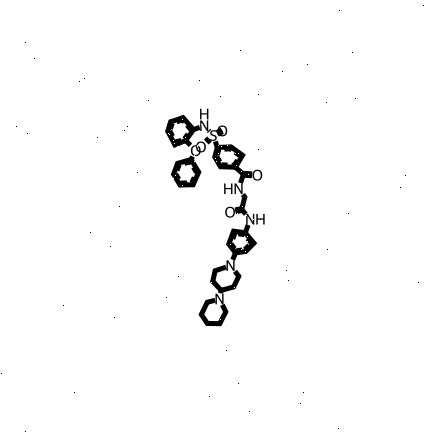 O=C(CNC(=O)c1ccc(S(=O)(=O)Nc2ccccc2Oc2ccccc2)cc1)Nc1ccc(N2CCC(N3CCCCC3)CC2)cc1